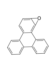 c1ccc2c(c1)c1ccccc1c1c3c(ccc21)O3